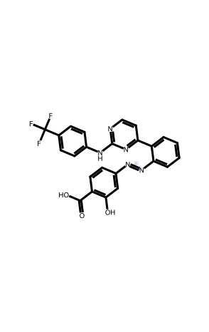 O=C(O)c1ccc(/N=N/c2ccccc2-c2ccnc(Nc3ccc(C(F)(F)F)cc3)n2)cc1O